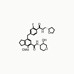 COc1c(C(=O)N[C@H]2CCOC[C@@H]2O)cc(Cc2ccc(C(=O)NC[C@@H]3CCCO3)c(F)c2)c2c1CCC2